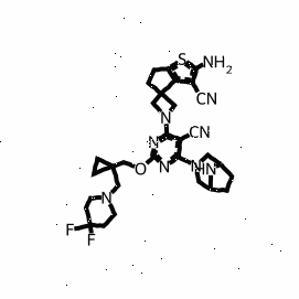 N#Cc1c(N2CC3CCC(C2)N3)nc(OCC2(CN3CCC(F)(F)CC3)CC2)nc1N1CC2(CCc3sc(N)c(C#N)c32)C1